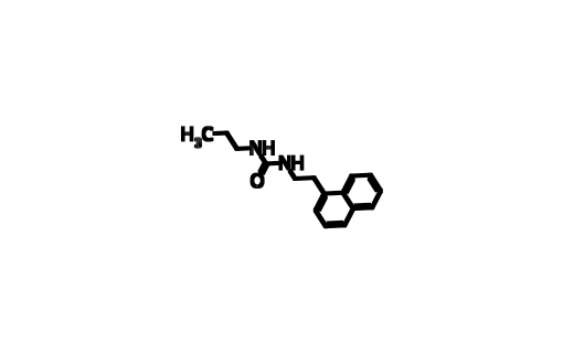 CCCNC(=O)NCCc1cccc2ccccc12